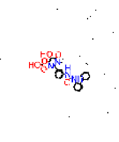 Cn1c(-c2cccc(NC(=O)Nc3ccccc3-c3ccccc3)c2)nc(OC(=O)O)c(O)c1=O